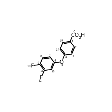 O=C(O)c1ccc(Oc2ccc(F)c(F)c2)cc1